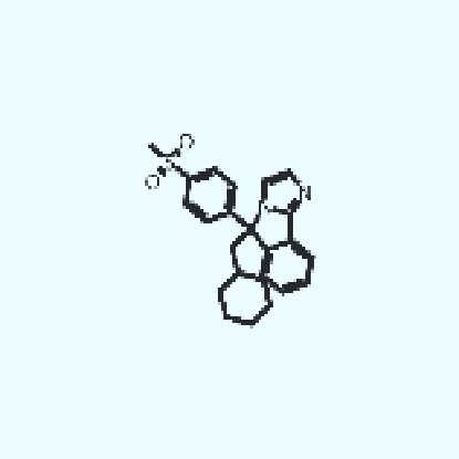 CS(=O)(=O)c1ccc(C2(CC3CCCCC3)c3ccccc3-c3nccn32)cc1